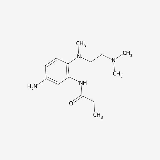 CCC(=O)Nc1cc(N)ccc1N(C)CCN(C)C